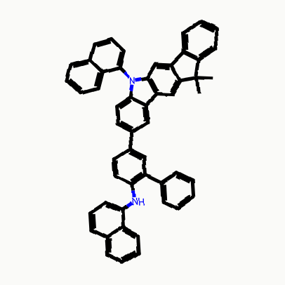 CC1(C)c2ccccc2-c2cc3c(cc21)c1cc(-c2ccc(Nc4cccc5ccccc45)c(-c4ccccc4)c2)ccc1n3-c1cccc2ccccc12